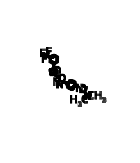 CN(C)C1CCN(c2ccc(-c3nnc(-c4ccc(-c5cccc(C(F)(F)F)c5)o4)o3)cc2)C1